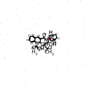 CC(=O)N(C)CC(O)CN1[C@@H]2CC[C@H]1C[C@H](NC(=O)c1cc3ccccc3n(C(C)C)c1=O)C2